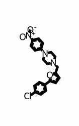 O=[N+]([O-])c1ccc(N2CCN(Cc3ccc(-c4ccc(Cl)cc4)o3)CC2)cc1